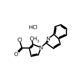 Cc1c(C(=O)Cl)ccn1-c1ccc2ccccc2n1.Cl